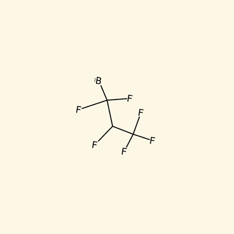 [B]C(F)(F)C(F)C(F)(F)F